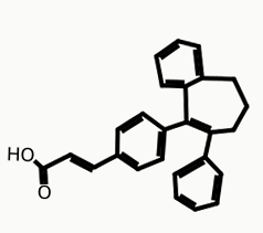 O=C(O)C=Cc1ccc(C2=C(c3ccccc3)CCCc3ccccc32)cc1